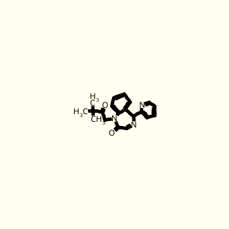 CC(C)(C)C(=O)CN1C(=O)C=NC(c2ccccn2)c2ccccc21